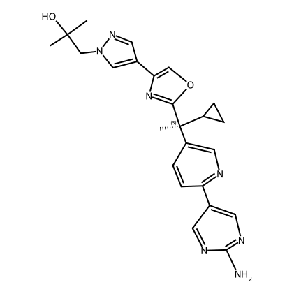 CC(C)(O)Cn1cc(-c2coc([C@](C)(c3ccc(-c4cnc(N)nc4)nc3)C3CC3)n2)cn1